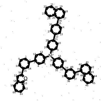 c1cc(-c2ccc(N(c3ccc(-c4ccc(-c5cccc6ccccc56)cc4)cc3)c3ccc(-c4cccc(-c5cccc6ccccc56)c4)cc3)cc2)cc(-c2cc3ccccc3o2)c1